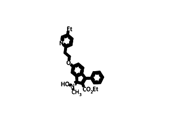 CCOC(=O)C1=C(c2ccccc2)c2ccc(OCCc3ccc(CC)cn3)cc2/C1=[N+](/C)O